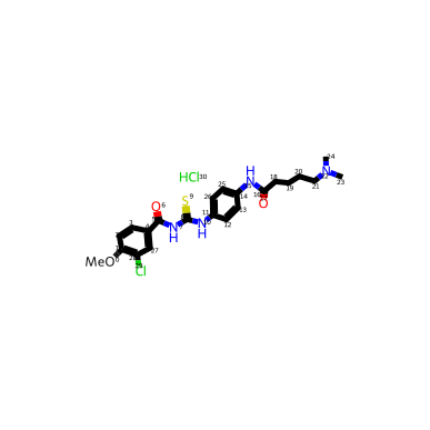 COc1ccc(C(=O)NC(=S)Nc2ccc(NC(=O)CCCCN(C)C)cc2)cc1Cl.Cl